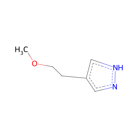 COCCc1cn[nH]c1